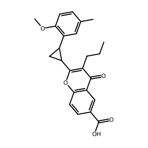 CCCc1c(C2CC2c2cc(C)ccc2OC)oc2ccc(C(=O)O)cc2c1=O